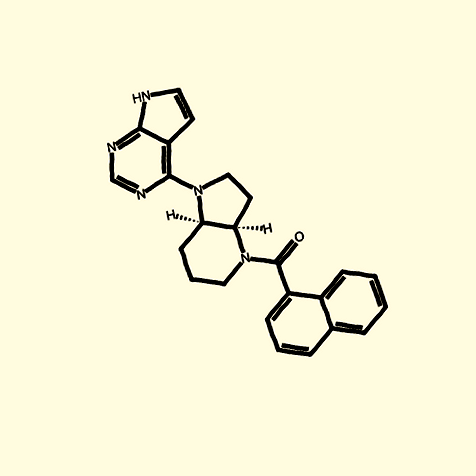 O=C(c1cccc2ccccc12)N1CCC[C@@H]2[C@H]1CCN2c1ncnc2[nH]ccc12